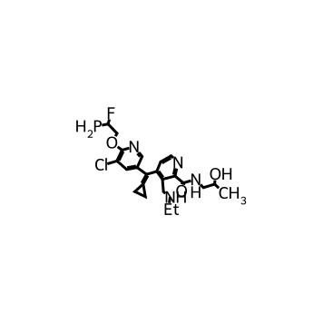 CCNCc1c(C(=C2CC2)c2cnc(OCC(F)P)c(Cl)c2)ccnc1C(=O)NCC(C)O